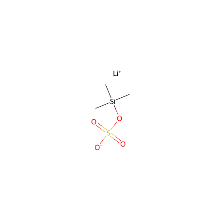 C[Si](C)(C)OS(=O)(=O)[O-].[Li+]